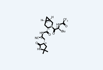 CC1(C)C[C@@H](C[C@@H](C#N)NC(=O)[C@@H]2C[C@H]3C[C@H]3CN2C(=O)[C@@H](NC(=O)C(F)(F)F)C(C)(C)C)C(=O)N1